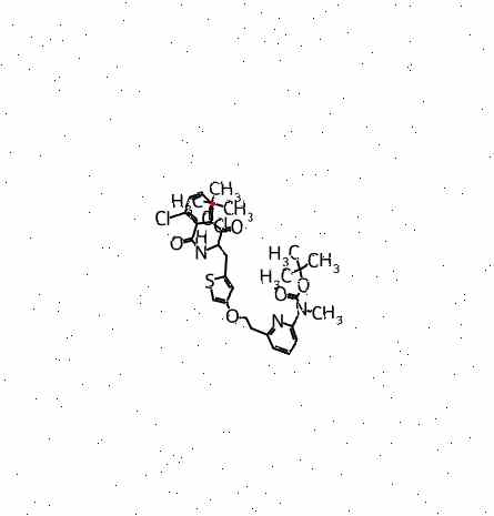 CN(C(=O)OC(C)(C)C)c1cccc(CCOc2csc(CC(NC(=O)c3c(Cl)cccc3Cl)C(=O)OC(C)(C)C)c2)n1